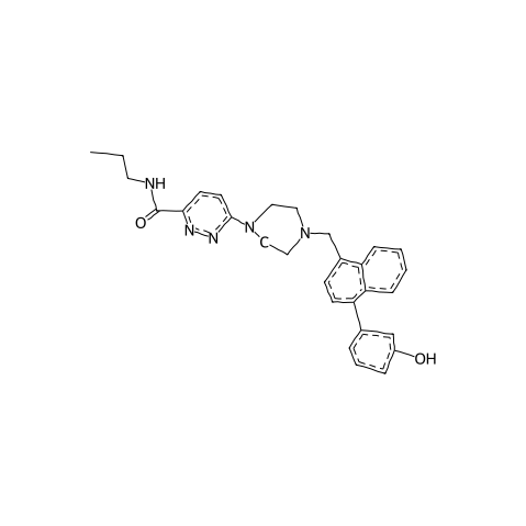 CCCNC(=O)c1ccc(N2CCN(Cc3ccc(-c4cccc(O)c4)c4ccccc34)CC2)nn1